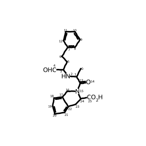 CC(NC(C=O)CCc1ccccc1)C(=O)N1Cc2ccccc2CC1C(=O)O